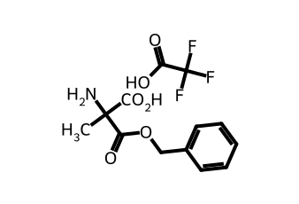 CC(N)(C(=O)O)C(=O)OCc1ccccc1.O=C(O)C(F)(F)F